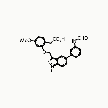 COc1ccc(CC(=O)O)c(OCc2nn(C)c3ccc(-c4cccc(NC=O)c4)cc23)c1